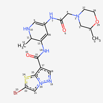 CC1CN(CC(=O)NC2=CNC(C)C(NC(=O)c3cnn4cc(Br)sc34)=C2)CCO1